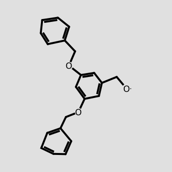 [O]Cc1cc(OCc2ccccc2)cc(OCc2ccccc2)c1